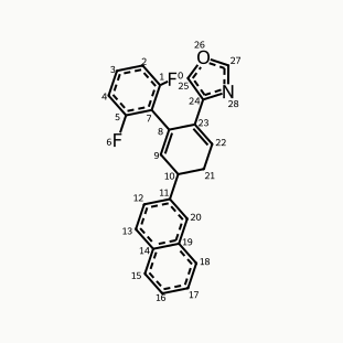 Fc1cccc(F)c1C1=CC(c2ccc3ccccc3c2)CC=C1c1cocn1